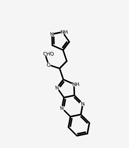 O=COC(Cc1cn[nH]c1)c1nc2nc3ccccc3nc2[nH]1